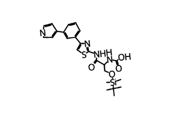 CC(C)(C)[Si](C)(C)OCC(NC(=O)O)C(=O)Nc1nc(-c2cccc(-c3ccncc3)c2)cs1